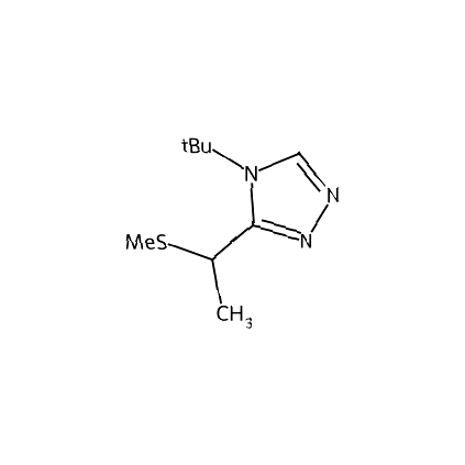 CSC(C)c1nncn1C(C)(C)C